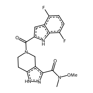 CON(C)C(=O)c1n[nH]c2c1CN(C(=O)c1cc3c(F)ccc(F)c3[nH]1)CC2